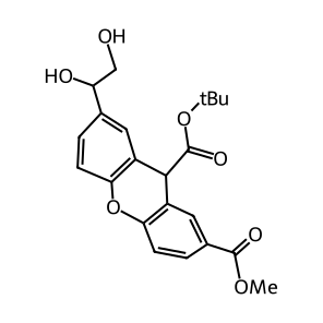 COC(=O)c1ccc2c(c1)C(C(=O)OC(C)(C)C)c1cc(C(O)CO)ccc1O2